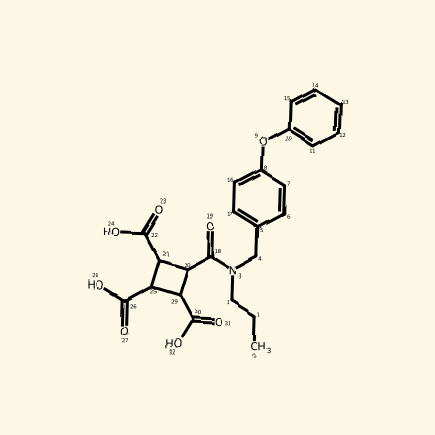 CCCN(Cc1ccc(Oc2ccccc2)cc1)C(=O)C1C(C(=O)O)C(C(=O)O)C1C(=O)O